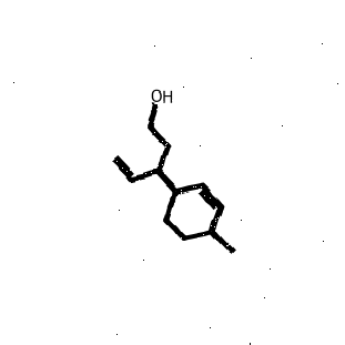 C=CC(CCO)C1C=CC(C)CC1